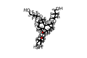 OCC(F)(F)C(F)(F)OC(F)(F)C1(F)C(F)(F)C(F)(F)C(F)(C(F)(F)OC(F)(F)C(F)(F)CO)C2(F)C(F)(C(F)(F)OC(F)(F)C(F)(F)CO)C(F)(F)C(F)(F)C(F)(C(F)(F)OC(F)(F)C(F)(F)CO)C12F